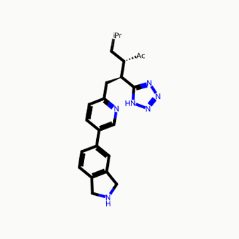 CC(=O)[C@@H](CC(C)C)[C@H](Cc1ccc(-c2ccc3c(c2)CNC3)cn1)c1nnn[nH]1